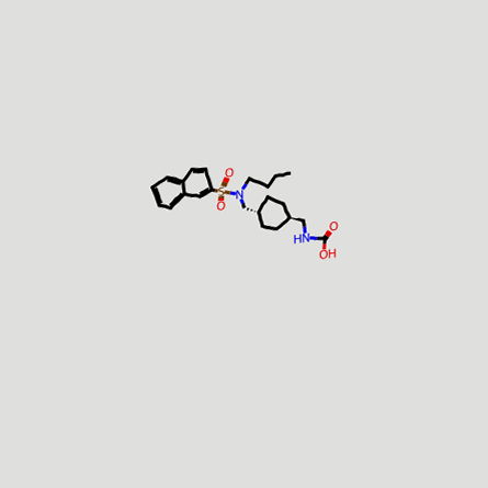 CCCCN(C[C@H]1CC[C@H](CNC(=O)O)CC1)S(=O)(=O)c1ccc2ccccc2c1